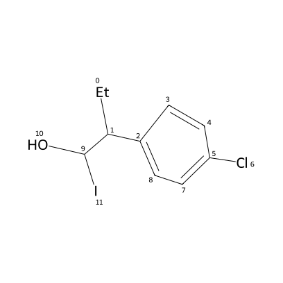 CCC(c1ccc(Cl)cc1)C(O)I